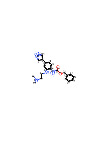 CN(C)CCNc1cc(-c2cn[nH]c2)ccc1NC(=O)OCc1ccccc1